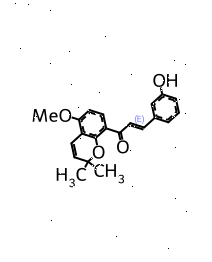 COc1ccc(C(=O)/C=C/c2cccc(O)c2)c2c1C=CC(C)(C)O2